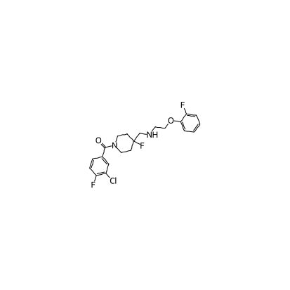 O=C(c1ccc(F)c(Cl)c1)N1CCC(F)(CNCCOc2ccccc2F)CC1